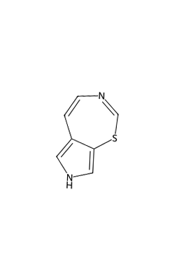 C1=Cc2c[nH]cc2SC=N1